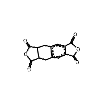 O=C1OC(=O)c2cc3c(cc21)CC1C(=O)OC(=O)C1C3